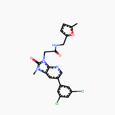 Cc1ccc(CNC(=O)Cn2c(=O)n(C)c3cc(-c4cc(Cl)cc(Cl)c4)cnc32)o1